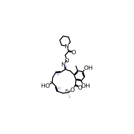 Cc1c(O)cc(O)c2c1CC(=N\OCC(=O)N1CCCCC1)/C=C/C[C@H](O)/C=C/C[C@@H](C)OC2=O